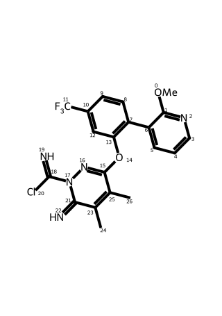 COc1ncccc1-c1ccc(C(F)(F)F)cc1Oc1nn(C(=N)Cl)c(=N)c(C)c1C